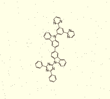 c1ccc(-c2nc(-c3ccccc3)nc(-n3c4ccccc4c4cc(-c5ccc6c(c5)c5ccccc5n6-c5cc(-c6ncccn6)cc(-c6ncccn6)c5)ccc43)n2)cc1